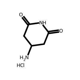 Cl.NC1CC(=O)NC(=O)C1